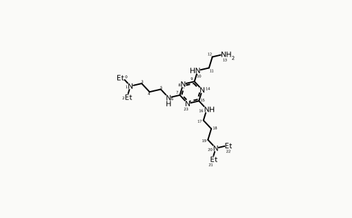 CCN(CC)CCCNc1nc(NCCN)nc(NCCCN(CC)CC)n1